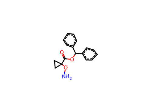 NOC1(C(=O)OC(c2ccccc2)c2ccccc2)CC1